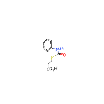 O=C(O)CCSC(=O)Nc1ccccc1